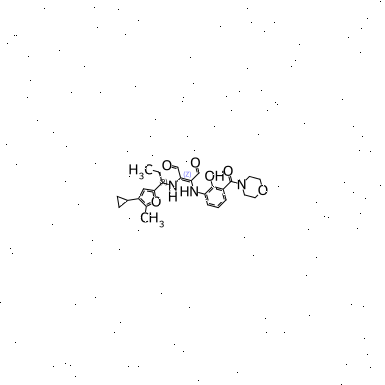 CC[C@@H](N/C(C=O)=C(/C=O)Nc1cccc(C(=O)N2CCOCC2)c1O)c1cc(C2CC2)c(C)o1